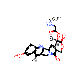 CCOC(=O)NCC(=O)O[C@]1(CC)C(=O)OCc2c1cc1n(c2=O)Cc2c-1nc1ccc(O)cc1c2CC